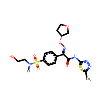 CCN(CCO)S(=O)(=O)c1ccc(/C(=N\O[C@@H]2CCOC2)C(=O)Nc2nnc(C)s2)cc1